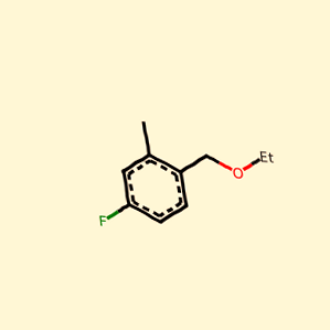 CCOCc1ccc(F)cc1C